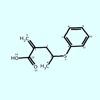 C=C(CC(C)Sc1ccccc1)C(=O)O